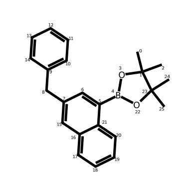 CC1(C)OB(c2cc(Cc3ccccc3)cc3ccccc23)OC1(C)C